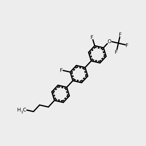 CCCCc1ccc(-c2ccc(-c3ccc(OC(F)(F)F)c(F)c3)cc2F)cc1